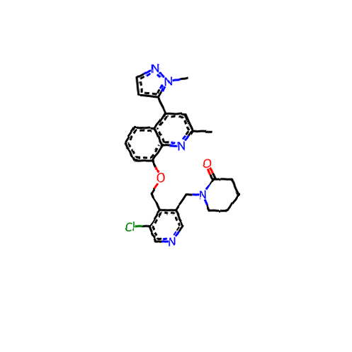 Cc1cc(-c2ccnn2C)c2cccc(OCc3c(Cl)cncc3CN3CCCCC3=O)c2n1